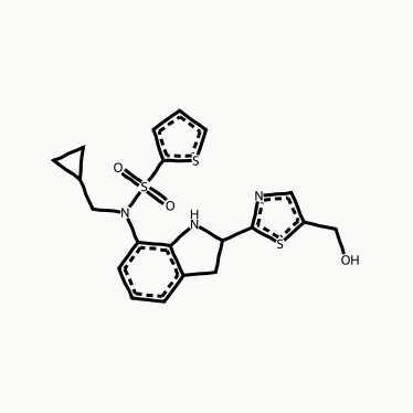 O=S(=O)(c1cccs1)N(CC1CC1)c1cccc2c1NC(c1ncc(CO)s1)C2